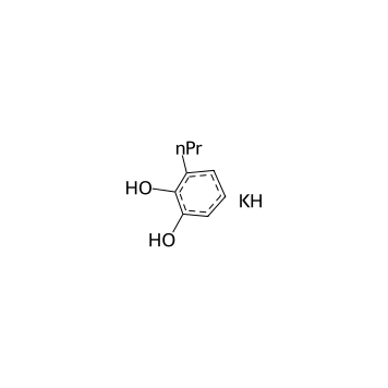 CCCc1cccc(O)c1O.[KH]